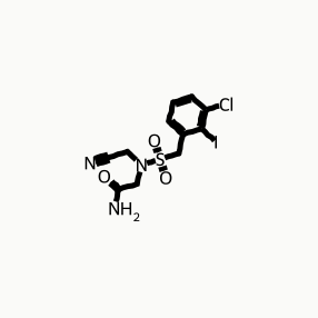 N#CCN(CC(N)=O)S(=O)(=O)Cc1cccc(Cl)c1I